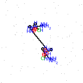 N=C(N)NCCCC(NC(=O)C(Cc1ccccc1)NC(=O)C(Cc1ccccc1)NC(=O)CCCCCCCCCCCCCCCCCCC(=O)NC(Cc1ccccc1)C(=O)NC(Cc1ccccc1)C(=O)NC(CCCNC(=N)N)C(=O)CCl)C(=O)CCl